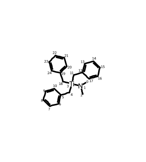 C[N](C)[Ti]([CH2]c1ccccc1)([CH2]c1ccccc1)[CH2]c1ccccc1